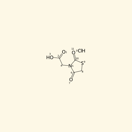 Cl.O=C(O)CN1C(=O)CSC1=O